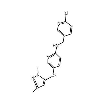 Cc1cc(Oc2ccc(NCc3ccc(Cl)nc3)nc2)n(C)n1